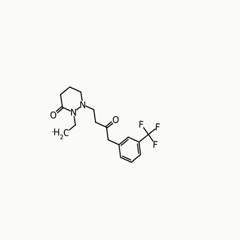 [CH2]CN1C(=O)CCCN1CCC(=O)Cc1cccc(C(F)(F)F)c1